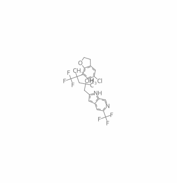 CC(O)(Cc1cc2cc(C(F)(F)F)ncc2[nH]1)CC(C)(c1cc(Cl)cc2c1OCC2)C(F)(F)F